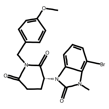 COc1ccc(CN2C(=O)CC[C@@H](n3c(=O)n(C)c4c(Br)cccc43)C2=O)cc1